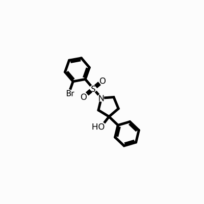 O=S(=O)(c1ccccc1Br)N1CCC(O)(c2ccccc2)C1